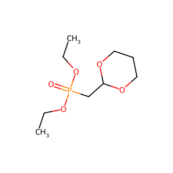 CCOP(=O)(CC1OCCCO1)OCC